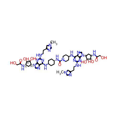 Cn1cnc(CCNc2nc(NC3CCN(C(=O)N[C@H]4CC[C@H](Nc5nc(NCCc6cn(C)cn6)nc6c5ncn6[C@@H]5C[C@H](NC(=O)CO)[C@@H](O)[C@H]5O)CC4)CC3)c3ncn([C@@H]4C[C@H](NC(=O)CO)[C@@H](O)[C@H]4O)c3n2)c1